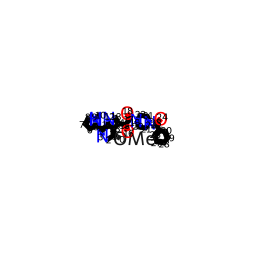 COc1cnc(-c2cccn2C)c2[nH]cc(C(=O)C(=O)N3CCN(C(=O)c4ccccc4)CC3)c12